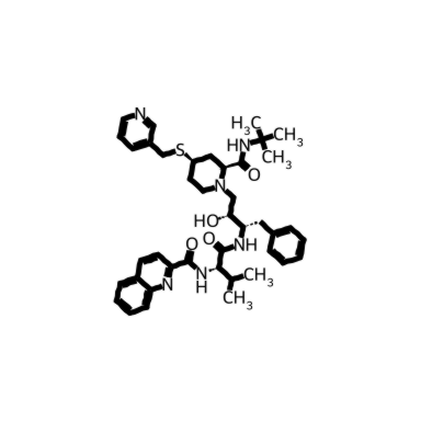 CC(C)[C@H](NC(=O)c1ccc2ccccc2n1)C(=O)N[C@@H](Cc1ccccc1)[C@H](O)CN1CC[C@@H](SCc2cccnc2)C[C@H]1C(=O)NC(C)(C)C